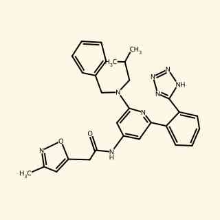 Cc1cc(CC(=O)Nc2cc(-c3ccccc3-c3nnn[nH]3)nc(N(Cc3ccccc3)CC(C)C)c2)on1